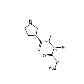 CCCCOC(=O)[C@H](C(C)C)N(C)C(=O)[C@H]1CCNC1